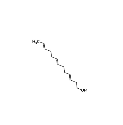 CC=CCCC=CCCC=CCCO